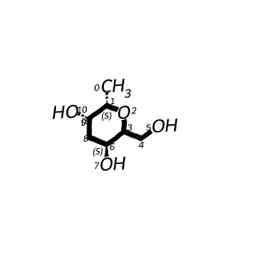 C[C@@H]1OC(CO)[C@@H](O)C[C@@H]1O